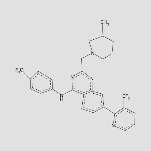 CC1CCCN(Cc2nc(Nc3ccc(C(F)(F)F)cc3)c3ccc(-c4ncccc4C(F)(F)F)cc3n2)C1